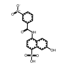 O=C(Nc1ccc(S(=O)(=O)O)c2cc(O)ccc12)c1cccc([N+](=O)[O-])c1